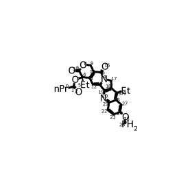 CCCC(=O)O[C@]1(CC)C(=O)OCc2c1cc1n(c2=O)Cc2c-1nc1ccc(OP)cc1c2CC